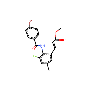 COC(=O)/C=C/c1cc(C)cc(F)c1NC(=O)c1ccc(Br)cc1